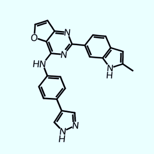 Cc1cc2ccc(-c3nc(Nc4ccc(-c5cn[nH]c5)cc4)c4occc4n3)cc2[nH]1